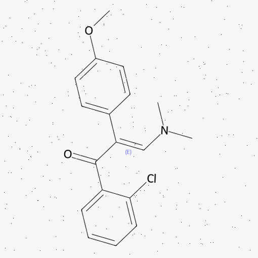 COc1ccc(/C(=C\N(C)C)C(=O)c2ccccc2Cl)cc1